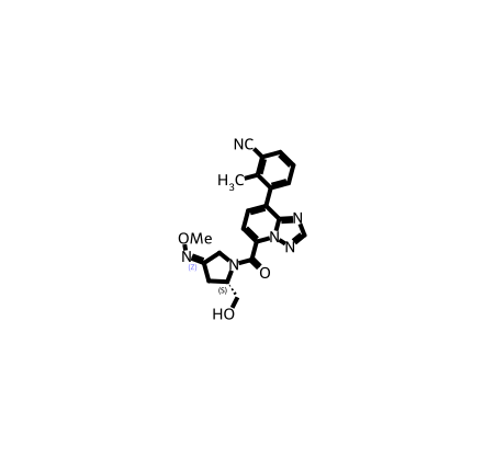 CO/N=C1/C[C@@H](CO)N(C(=O)c2ccc(-c3cccc(C#N)c3C)c3ncnn23)C1